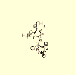 COc1ccc([CH][CH]c2c(Cl)c[n+]([O-])cc2Cl)cc1OC